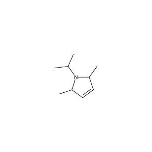 CC(C)N1C(C)C=CC1C